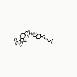 CN(C)CCCOc1ccc(CNc2ncc3c(n2)-c2c(c(C(N)=O)nn2C)CC3)cc1